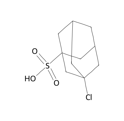 O=S(=O)(O)C12CC3CC(CC(Cl)(C3)C1)C2